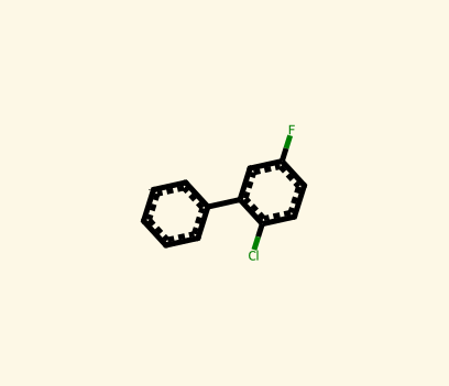 Fc1ccc(Cl)c(-c2c[c]ccc2)c1